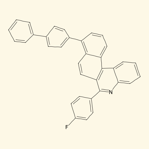 Fc1ccc(-c2nc3ccccc3c3c2ccc2c(-c4ccc(-c5ccccc5)cc4)cccc23)cc1